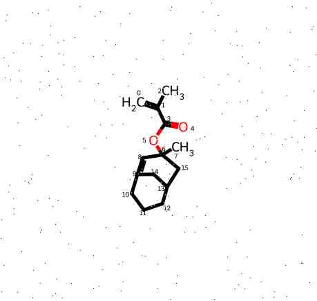 C=C(C)C(=O)OC1(C)C=C2CCCC(C2)C1